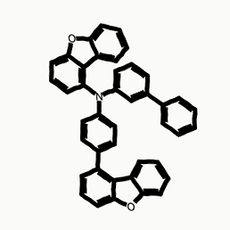 c1ccc(-c2cccc(N(c3ccc(-c4cccc5oc6ccccc6c45)cc3)c3cccc4oc5ccccc5c34)c2)cc1